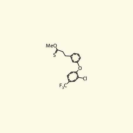 COC(=S)CCc1cccc(Oc2ccc(C(F)(F)F)cc2Cl)c1